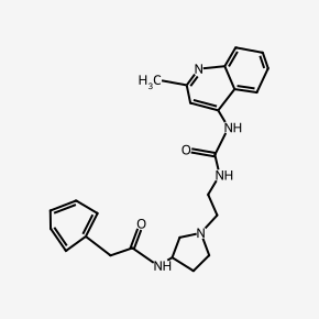 Cc1cc(NC(=O)NCCN2CCC(NC(=O)Cc3ccccc3)C2)c2ccccc2n1